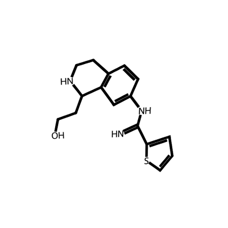 N=C(Nc1ccc2c(c1)C(CCO)NCC2)c1cccs1